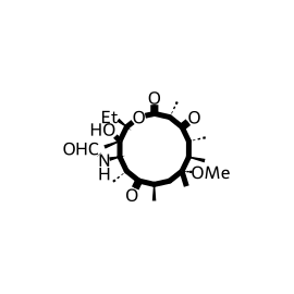 CC[C@H]1OC(=O)[C@H](C)C(=O)[C@H](C)[C@@H](C)[C@](C)(OC)C[C@@H](C)C(=O)[C@H](C)[C@@H](NC=O)[C@]1(C)O